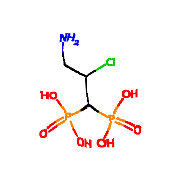 NCC(Cl)C(P(=O)(O)O)P(=O)(O)O